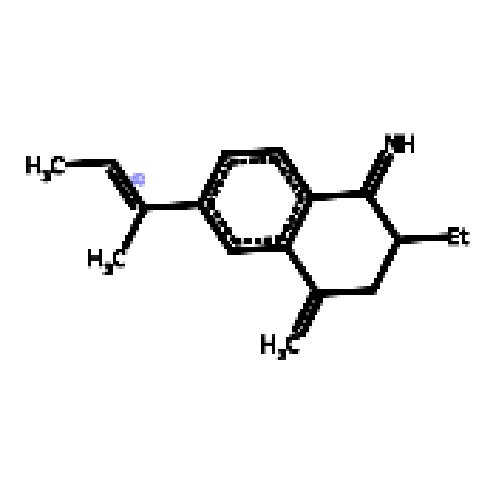 C=C1CC(CC)C(=N)c2ccc(/C(C)=C/C)cc21